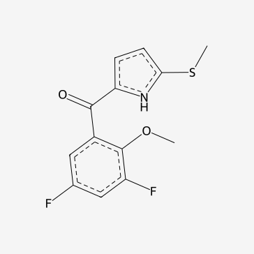 COc1c(F)cc(F)cc1C(=O)c1ccc(SC)[nH]1